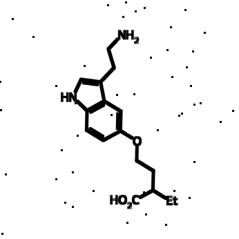 CCC(CCOc1ccc2[nH]cc(CCN)c2c1)C(=O)O